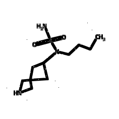 CCCCN(C1CC2(CNC2)C1)S(N)(=O)=O